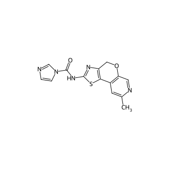 Cc1cc2c(cn1)OCc1nc(NC(=O)n3ccnc3)sc1-2